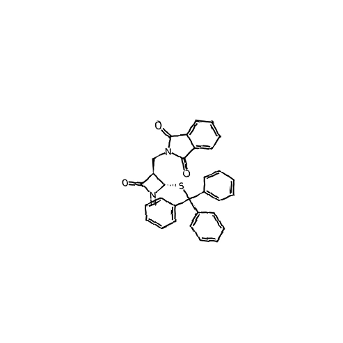 O=C1N[C@@H](SC(c2ccccc2)(c2ccccc2)c2ccccc2)[C@@H]1CN1C(=O)c2ccccc2C1=O